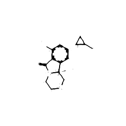 CC1C[C@H]1c1cc2c(c(C(F)(F)F)c1)C(=O)N1CCNC[C@@H]21